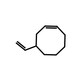 C=CC1C/C=C\CCCC1